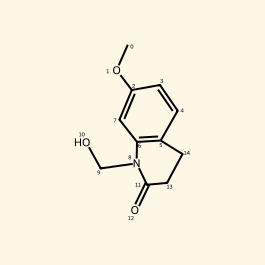 COc1ccc2c(c1)N(CO)C(=O)CC2